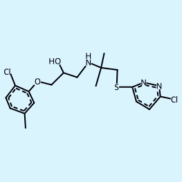 Cc1ccc(Cl)c(OCC(O)CNC(C)(C)CSc2ccc(Cl)nn2)c1